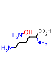 NCCCCC(N)C(=O)O.NO